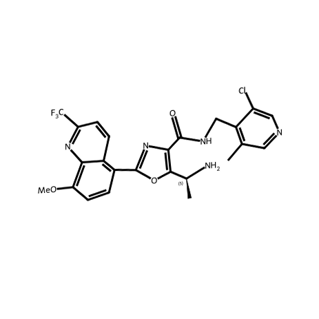 COc1ccc(-c2nc(C(=O)NCc3c(C)cncc3Cl)c([C@H](C)N)o2)c2ccc(C(F)(F)F)nc12